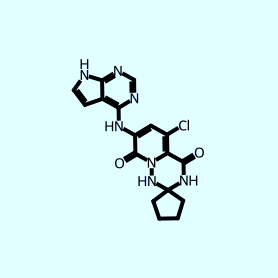 O=C1NC2(CCCC2)Nn2c1c(Cl)cc(Nc1ncnc3[nH]ccc13)c2=O